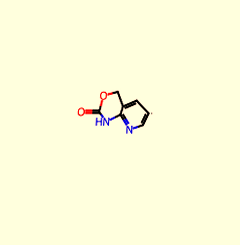 O=C1Nc2nc[c]cc2CO1